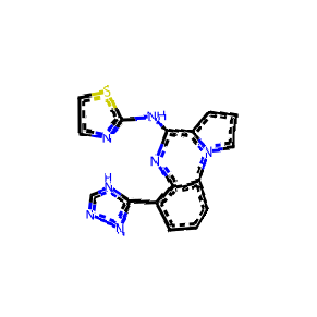 c1cc(-c2nnc[nH]2)c2nc(Nc3nccs3)c3cccn3c2c1